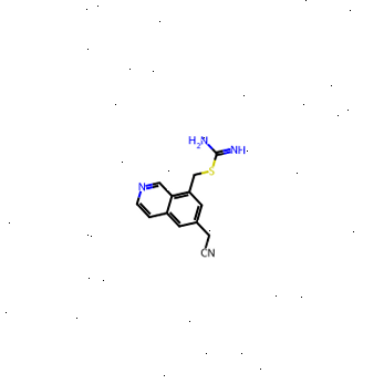 N#CCc1cc(CSC(=N)N)c2cnccc2c1